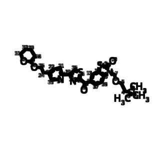 C[Si](C)(C)CCOCn1c(=O)sc2cc(C(=O)c3nc(-c4ccc(CCOC5CCCCO5)cn4)cs3)ccc21